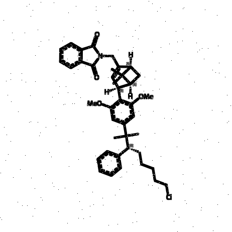 COc1cc(C(C)(C)[C@H](CCCCCCl)c2ccccc2)cc(OC)c1[C@H]1C=C(CN2C(=O)c3ccccc3C2=O)[C@H]2C[C@@H]1C2(C)C